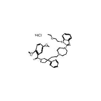 CCOCCn1c(N2CCCN(CCC3(c4ccccc4)CCN(C(=O)c4cc(OC)ccc4OC)C3)CC2)nc2ccccc21.Cl